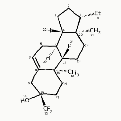 CC[C@H]1CC[C@H]2[C@@H]3CC=C4C[C@](O)(C(F)(F)F)CC[C@]4(C)[C@H]3CC[C@]12C